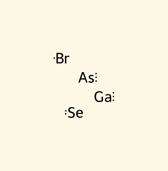 [As].[Br].[Ga].[Se]